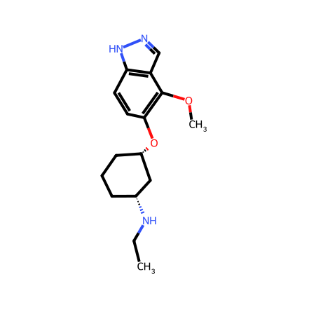 CCN[C@@H]1CCC[C@H](Oc2ccc3[nH]ncc3c2OC)C1